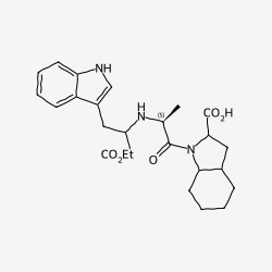 CCOC(=O)C(Cc1c[nH]c2ccccc12)N[C@@H](C)C(=O)N1C(C(=O)O)CC2CCCCC21